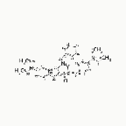 CCN(CC)c1ccc(C=C2CN(Cc3ccccc3)CC(=Cc3ccc(N(CC)CC)cc3)C2=O)cc1